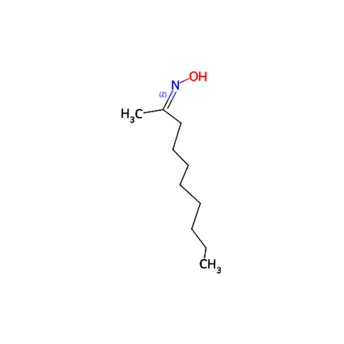 CCCCCCCC/C(C)=N\O